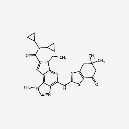 CCn1c(C(=O)N(C2CC2)C2CC2)cc2c3c(ncn3C)c(Nc3nc4c(s3)C(=O)CC(C)(C)C4)nc21